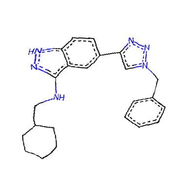 c1ccc(Cn2cc(-c3ccc4[nH]nc(NCC5CCCCC5)c4c3)nn2)cc1